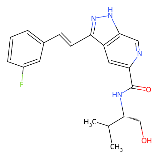 CC(C)[C@@H](CO)NC(=O)c1cc2c(/C=C/c3cccc(F)c3)n[nH]c2cn1